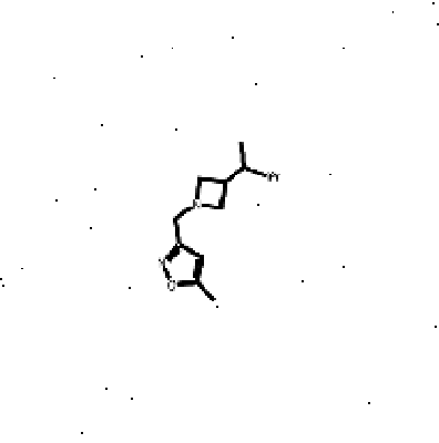 Cc1cc(CN2CC(C(C)C(C)C)C2)no1